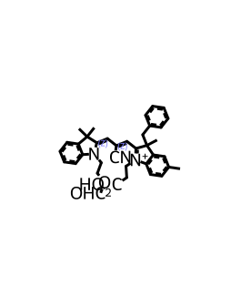 Cc1ccc2c(c1)C(C)(Cc1ccccc1)C(/C=C(C#N)/C=C1\N(CCOC=O)c3ccccc3C1(C)C)=[N+]2CCC(=O)O